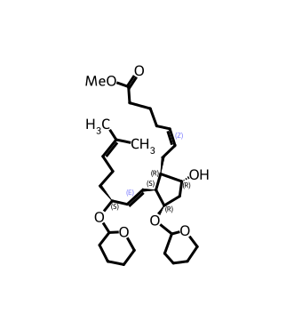 COC(=O)CCC/C=C\C[C@@H]1[C@H](/C=C/[C@H](CCC=C(C)C)OC2CCCCO2)[C@H](OC2CCCCO2)C[C@H]1O